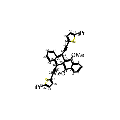 COc1c2ccccc2c(OC)c2c(C#Cc3ccc(C(C)C)s3)c3ccccc3c(C#Cc3ccc(C(C)C)s3)c12